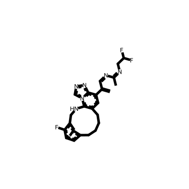 C=C(/C=N\C(C)=N/CC(F)F)c1cc2c(n3cnnc13)NCc1c(F)ccc(c1C)CCCC2